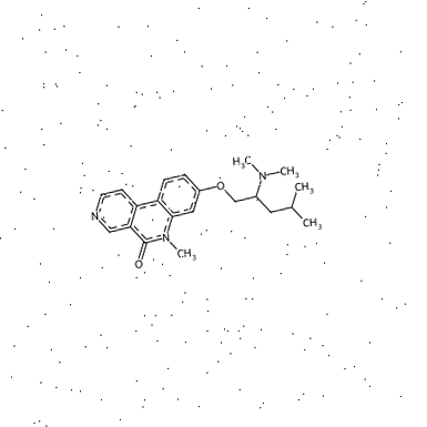 CC(C)CC(COc1ccc2c3ccncc3c(=O)n(C)c2c1)N(C)C